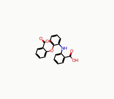 O=C(O)c1ccccc1Nc1ccccc1Oc1ccccc1C(=O)O